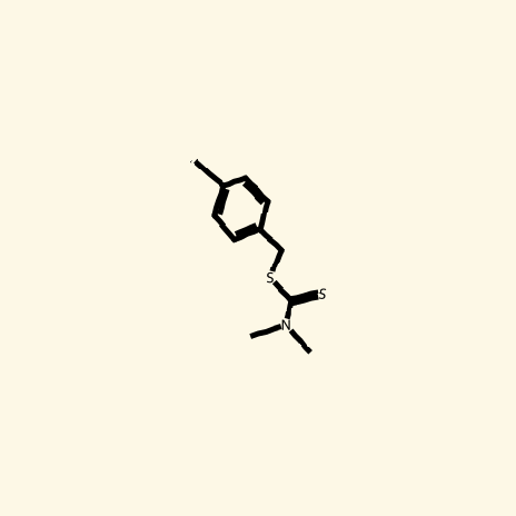 [CH2]c1ccc(CSC(=S)N(C)C)cc1